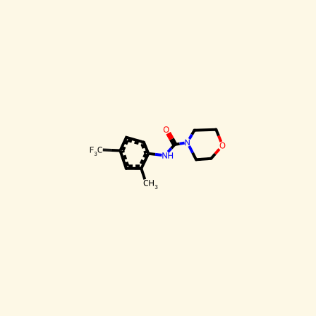 Cc1cc(C(F)(F)F)ccc1NC(=O)N1CCOCC1